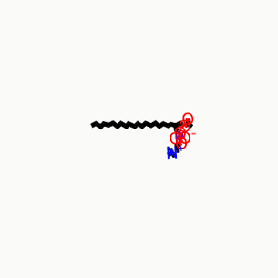 CCCCCCCCCCCCCCCCCCCCC(COC(C)=O)COP(=O)([O-])OCC[N+](C)(C)C